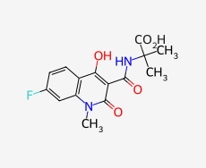 Cn1c(=O)c(C(=O)NC(C)(C)C(=O)O)c(O)c2ccc(F)cc21